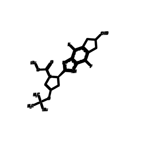 CC(C)(C)OC(=O)N1CC(O[Si](C)(C)C(C)(C)C)C[C@@H]1c1nc2c(F)c3c(c(F)c2[nH]1)CC(C=O)C3